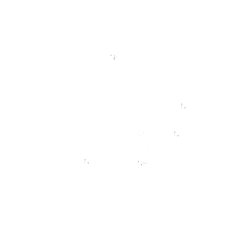 N#Cc1ccc(CN2C=CN(CC(=O)NC3CCN(c4ccccc4)CC3)C2)cc1